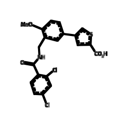 COc1ccc(-c2csc(C(=O)O)c2)cc1CNC(=O)c1ccc(Cl)cc1Cl